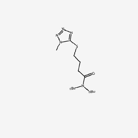 CCCCN(CCCC)C(=O)CCCSc1nnnn1C